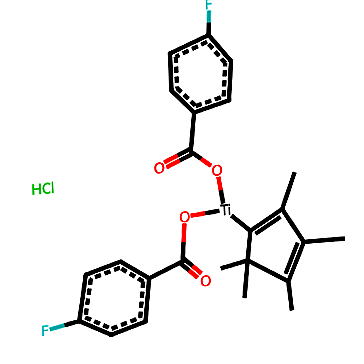 CC1=C(C)C(C)(C)[C]([Ti]([O]C(=O)c2ccc(F)cc2)[O]C(=O)c2ccc(F)cc2)=C1C.Cl